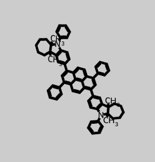 CC12CCCCCC1(C)N(c1ccccc1)c1ccc(-c3cc(-c4ccccc4)c4ccc5c(-c6ccc7c(c6)C6(C)CCCCCC6(C)N7c6ccccc6)cc(-c6ccccc6)c6ccc3c4c65)cc12